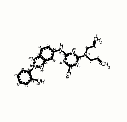 C=CCN(CC=C)c1nc(Cl)nc(Nc2ccc3nn(-c4ccccc4O)nc3c2)n1